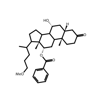 COCCCC(C)C1CCC2C3C(C[C@H](OC(=O)c4ccccc4)[C@]12C)[C@@]1(C)CCC(=O)C[C@H]1C[C@H]3O